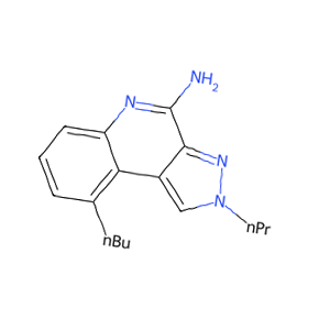 CCCCc1cccc2nc(N)c3nn(CCC)cc3c12